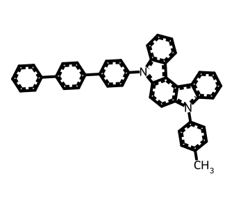 Cc1ccc(-n2c3ccccc3c3c4c5ccccc5n(-c5ccc(-c6ccc(-c7ccccc7)cc6)cc5)c4ccc32)cc1